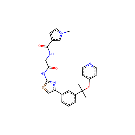 Cn1ccc(C(=O)NCC(=O)Nc2nc(-c3cccc(C(C)(C)Oc4ccncc4)c3)cs2)c1